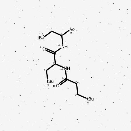 CC(=O)C(CC(C)(C)C)NC(=O)C(CC(C)(C)C)NC(=O)CCC(C)(C)C